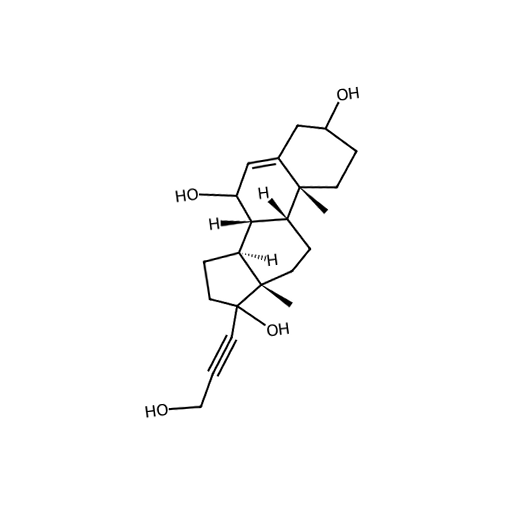 C[C@]12CCC(O)CC1=CC(O)[C@@H]1[C@H]2CC[C@@]2(C)[C@H]1CCC2(O)C#CCO